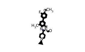 COc1ccc(-c2cc(C)c(/N=C(\NC=O)C3CCN(C4CC4)CC3)c(F)c2)cc1F